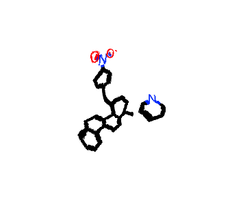 CC1CCC(Cc2ccc([N+](=O)[O-])cc2)=c2c1ccc1c2=CCc2ccccc2-1.c1ccncc1